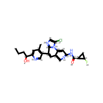 CCCC(O)c1cc(C)c(-c2cc3cnc(NC(=O)[C@H]4C[C@H]4F)cc3n3c(Cl)cnc23)cn1